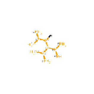 CP(P(P)P)P(P(P)P)P(P)P